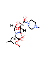 COC(=O)[C@H](CC(C)C)N1C[C@H]2O[C@H](C(=O)N3CCN(C)CC3)[C@@H](O2)C1=O